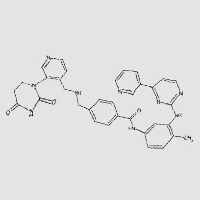 Cc1ccc(NC(=O)c2ccc(CNCc3ccncc3N3CCC(=O)NC3=O)cc2)cc1Nc1nccc(-c2cccnc2)n1